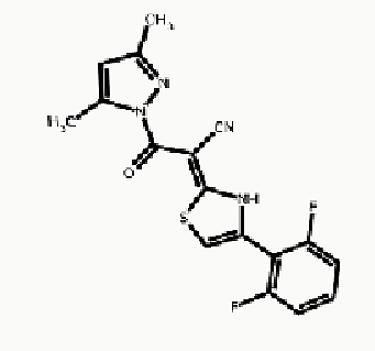 Cc1cc(C)n(C(=O)C(C#N)=C2NC(c3c(F)cccc3F)=CS2)n1